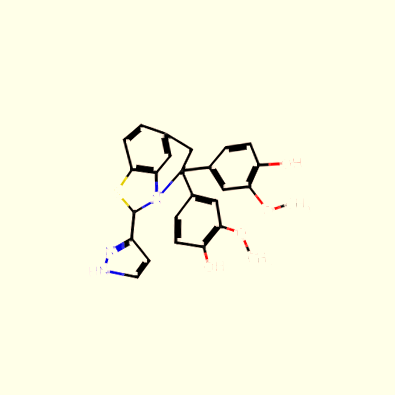 COc1cc(C2(c3ccc(O)c(OC)c3)Cc3ccc4c(c3)N2C(c2cc[nH]n2)S4)ccc1O